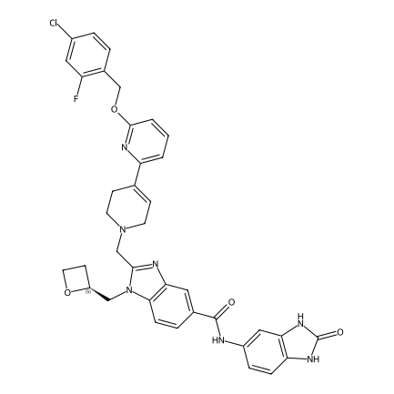 O=C(Nc1ccc2[nH]c(=O)[nH]c2c1)c1ccc2c(c1)nc(CN1CC=C(c3cccc(OCc4ccc(Cl)cc4F)n3)CC1)n2C[C@@H]1CCO1